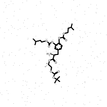 CC(C)CCOC(=O)Oc1ccc(C[C@H](N)C(=O)O[C@@H](C)COC(=O)OC(C)(C)C)cc1OC(=O)OCCC(C)C